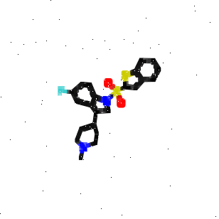 CN1CC=C(c2cn(S(=O)(=O)c3cc4ccccc4s3)c3ccc(F)cc23)CC1